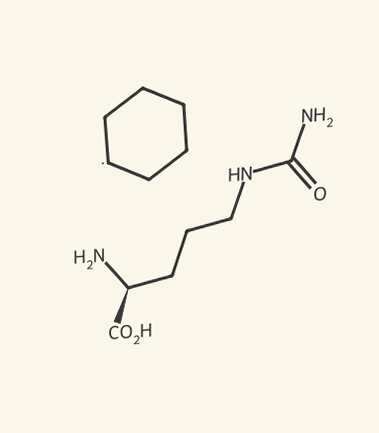 NC(=O)NCCC[C@H](N)C(=O)O.[CH]1CCCCC1